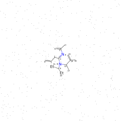 C=CC/C(=N\C(=C)C)N(C(CC)CC)C(C)C(=C)C